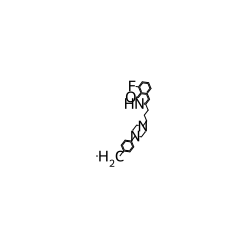 [CH2]c1ccc(N2CCN(CCCc3cc4cccc(F)c4c(=O)[nH]3)CC2)cc1